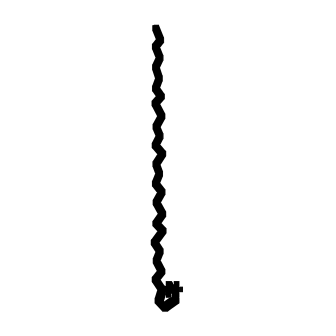 CCCCCCCCCCCCCCCCCCCCCCCCCCCC1=CC=C[N]1